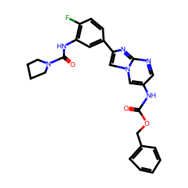 O=C(Nc1cnc2nc(-c3ccc(F)c(NC(=O)N4CCCC4)c3)cn2c1)OCc1ccccc1